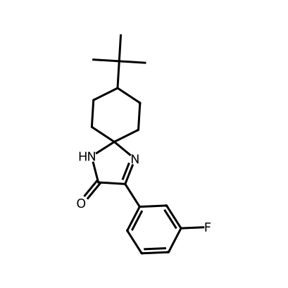 CC(C)(C)C1CCC2(CC1)N=C(c1cccc(F)c1)C(=O)N2